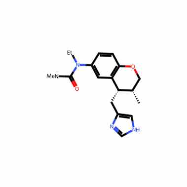 CCN(C(=O)NC)c1ccc2c(c1)[C@@H](Cc1c[nH]cn1)[C@@H](C)CO2